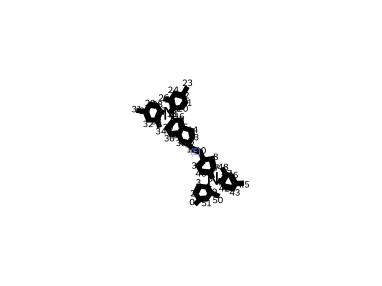 Cc1ccc(N(c2ccc(/C=C/c3ccc4cc(N(c5ccc(C)cc5C)c5ccc(C)cc5C)ccc4c3)cc2)c2ccc(C)cc2C)c(C)c1